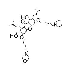 CC(C)=CCc1c(OCCCCCN2CCCCC2)cc2oc3cc(OCCCCCN4CCOCC4)c(CO)c(CC=C(C)C)c3c(=O)c2c1O